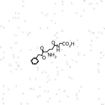 N[C@@H](CCC(=O)NCC(=O)O)C(=O)C(=O)Cc1ccccc1